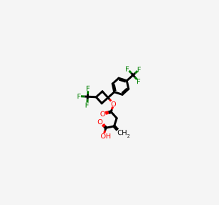 C=C(CC(=O)OC1(c2ccc(C(F)(F)F)cc2)CC(C(F)(F)F)C1)C(=O)O